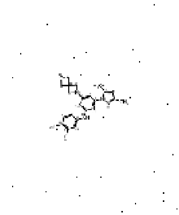 Cc1cc(C)n(-c2cc(N3CC4(COC4)C3)nc(Nc3ccc(F)c(F)c3)n2)n1